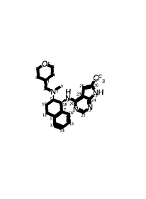 CN(CC1CCOCC1)[C@H]1CCc2c#cccc2[C@@H]1Nc1ncnc2[nH]c(C(F)(F)F)cc12